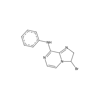 BrC1CN=C2C(Nc3ccccc3)=NC=CN21